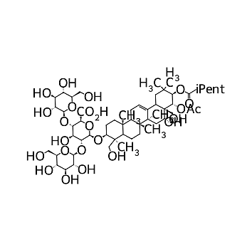 CCCC(C)C(=O)O[C@H]1[C@H](OC(C)=O)[C@@]2(CO)C(CC1(C)C)C1=CCC3[C@@]4(C)CC[C@H](O[C@@H]5O[C@H](C(=O)O)[C@@H](O[C@@H]6O[C@H](CO)[C@@H](O)[C@H](O)[C@H]6O)[C@H](O)[C@H]5O[C@@H]5O[C@H](CO)[C@@H](O)[C@H](O)[C@H]5O)[C@](C)(CO)C4CC[C@@]3(C)[C@]1(C)C[C@H]2O